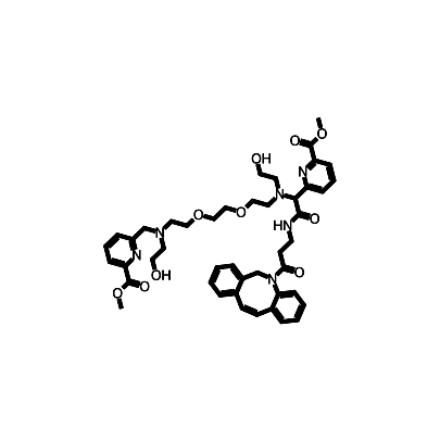 COC(=O)c1cccc(CN(CCO)CCOCCOCCN(CCO)C(C(=O)NCCC(=O)N2Cc3ccccc3/C=C\c3ccccc32)c2cccc(C(=O)OC)n2)n1